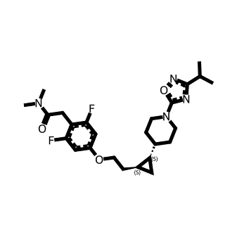 CC(C)c1noc(N2CCC([C@@H]3C[C@H]3CCOc3cc(F)c(CC(=O)N(C)C)c(F)c3)CC2)n1